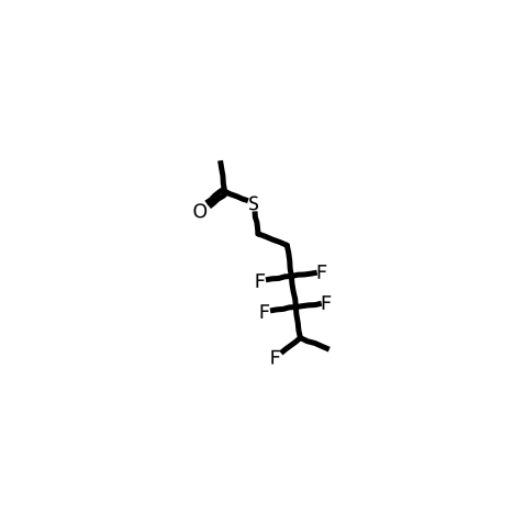 CC(=O)SCCC(F)(F)C(F)(F)C(C)F